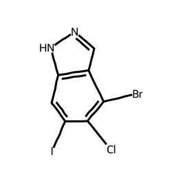 Clc1c(I)cc2[nH]ncc2c1Br